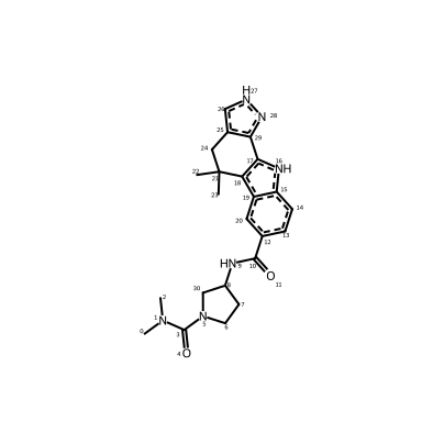 CN(C)C(=O)N1CCC(NC(=O)c2ccc3[nH]c4c(c3c2)C(C)(C)Cc2c[nH]nc2-4)C1